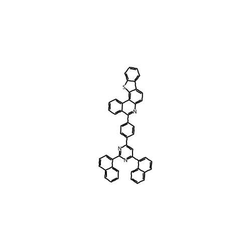 c1ccc2c(-c3cc(-c4ccc(-c5nc6ccc7c8ccccc8sc7c6c6ccccc56)cc4)nc(-c4cccc5ccccc45)n3)cccc2c1